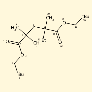 CCC(C)COC(=O)C(C)(C)CC(C)(CC)C(=O)OCC(C)(C)C